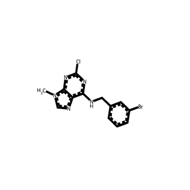 Cn1cnc2c(NCc3cccc(Br)c3)nc(Cl)nc21